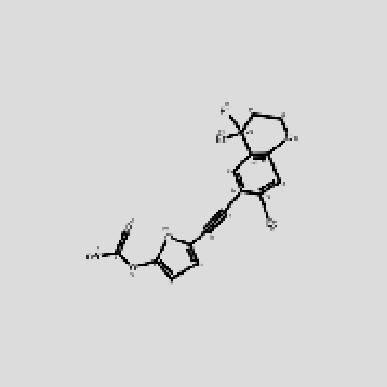 CCCC(=O)Oc1ccc(C#Cc2cc3c(cc2CC)OCCC3(CC)CC)o1